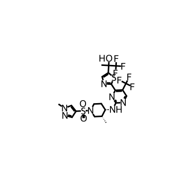 C[C@@H]1CN(S(=O)(=O)c2cnn(C)c2)CC[C@@H]1Nc1ncc(C(F)(F)F)c(-c2ncc(C(C)(O)C(F)(F)F)s2)n1